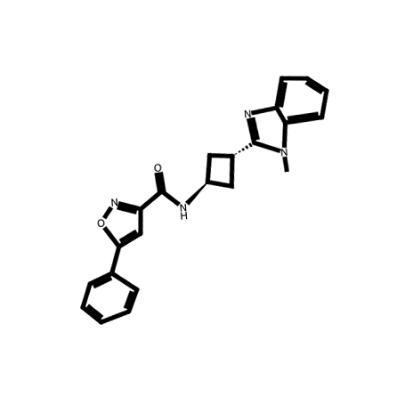 Cn1c2ccccc2nc1[C@H]1C[C@H](NC(=O)c2cc(-c3ccccc3)on2)C1